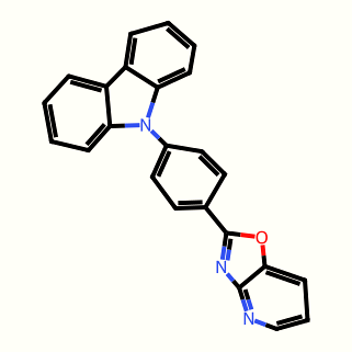 c1cnc2nc(-c3ccc(-n4c5ccccc5c5ccccc54)cc3)oc2c1